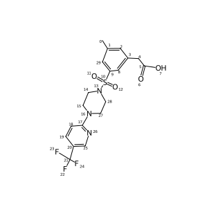 Cc1cc(CC(=O)O)cc(S(=O)(=O)N2CCN(c3ccc(C(F)(F)F)cn3)CC2)c1